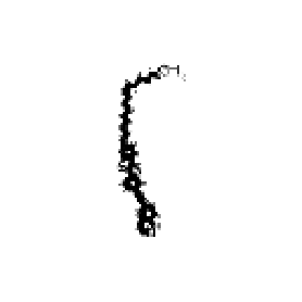 CCCCCC/C=C\CCCCCCCCc1ccc2c(c1)sc1c3ccc(C#Cc4ccc5cnccc5c4)cc3sc21